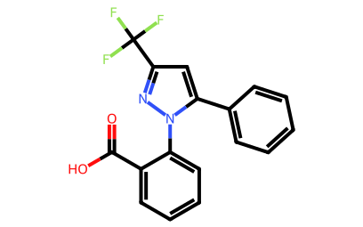 O=C(O)c1ccccc1-n1nc(C(F)(F)F)cc1-c1ccccc1